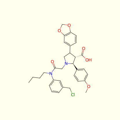 CCCCN(C(=O)CN1CC(c2ccc3c(c2)OCO3)[C@H](C(=O)O)[C@H]1c1ccc(OC)cc1)c1cccc(CCl)c1